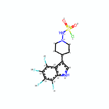 O=S(=O)(Cl)NN1CCC(c2c[nH]c3c(F)c(F)c(F)c(F)c23)CC1